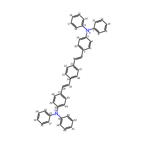 C(=Cc1ccc(N(c2ccccc2)c2ccccc2)cc1)c1ccc(C=Cc2ccc(N(c3ccccc3)c3ccccc3)cc2)cc1